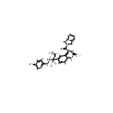 Nc1nc(C(=O)N2Cc3ccccc3C2)c2cc(C(CO)(NCc3ccc(F)cc3)C(=O)O)ccc2n1